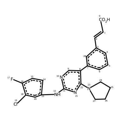 O=C(O)C=Cc1cccc(-c2cnc(Nc3ccc(F)c(Cl)c3)nc2N2CCCC2)c1